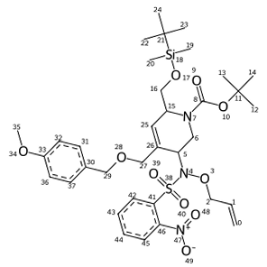 C=CCON(C1CN(C(=O)OC(C)(C)C)C(CO[Si](C)(C)C(C)(C)C)C=C1COCc1ccc(OC)cc1)S(=O)(=O)c1ccccc1[N+](=O)[O-]